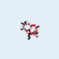 C=CCC[Si]12O[Si]3(C)O[Si](C)(C)O[Si](C)(O[Si]4(C)O[Si](C)(OC)O[Si](C)(O3)O[Si](C)(O4)O1)O2